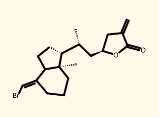 C=C1C[C@H](C[C@@H](C)[C@H]2CCC3C(=CBr)CCC[C@@]32C)OC1=O